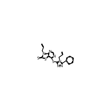 C=CCn1c(Sc2ncnc3c2sc(=S)n3CC=C)nnc1-c1ccccc1